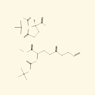 C=CCCC(=O)CCC(NC(=O)OC(C)(C)C)C(=O)OC.CC(C)(C)[N@@+]1(C(=O)O)C(=O)CC[C@@]1(C)C(=O)O